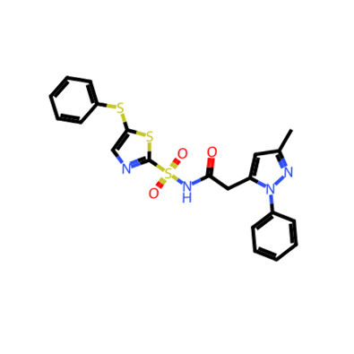 Cc1cc(CC(=O)NS(=O)(=O)c2ncc(Sc3ccccc3)s2)n(-c2ccccc2)n1